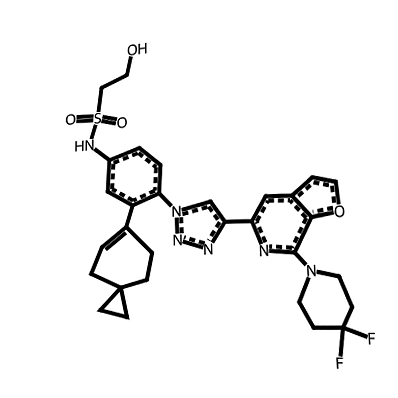 O=S(=O)(CCO)Nc1ccc(-n2cc(-c3cc4ccoc4c(N4CCC(F)(F)CC4)n3)nn2)c(C2=CCC3(CC2)CC3)c1